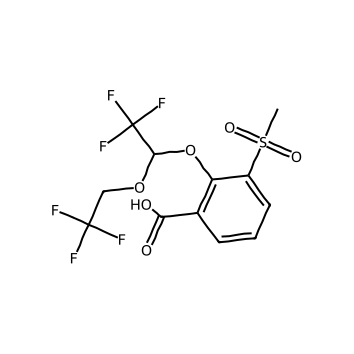 CS(=O)(=O)c1cccc(C(=O)O)c1OC(OCC(F)(F)F)C(F)(F)F